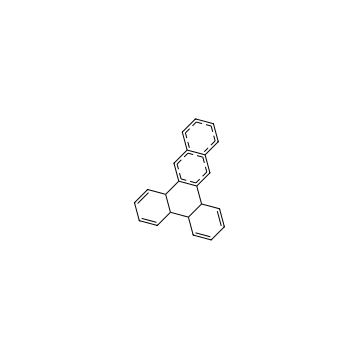 C1=CC2c3cc4ccccc4cc3C3C=CC=CC3C2C=C1